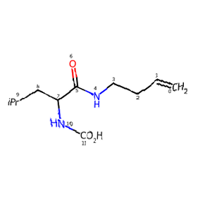 C=CCCNC(=O)C(CC(C)C)NC(=O)O